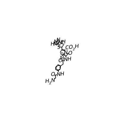 NCC(=O)Nc1cccc(CC(=O)NC2C(=O)N3C(C(=O)O)=C(C(CC(=O)O)Sc4nnn[nH]4)CS[C@@H]23)c1